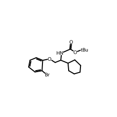 CC(C)(C)OC(=O)NC(COc1ccccc1Br)C1CCCCC1